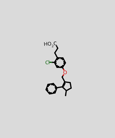 CC1CCC(COc2ccc(CCC(=O)O)c(Cl)c2)=C1c1ccccc1